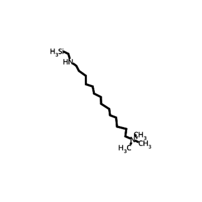 C[N+](C)(C)CCCCCCCCCCCCCCNC[SiH3]